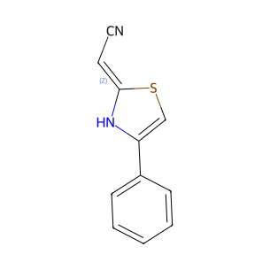 N#C/C=C1/NC(c2ccccc2)=CS1